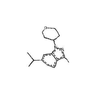 Cc1nn(C2CCOCC2)c2cc(C(C)C)ccc12